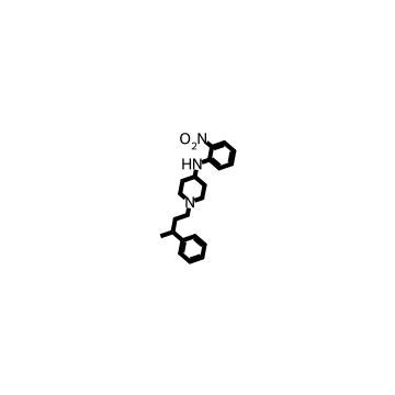 CC(CCN1CCC(Nc2ccccc2[N+](=O)[O-])CC1)c1ccccc1